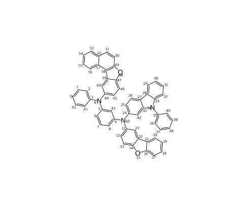 c1ccc(N(c2cccc(N(c3ccc4oc5ccccc5c4c3)c3ccc4c5ccccc5n(-c5ccccc5)c4c3)c2)c2ccc3oc4ccc5ccccc5c4c3c2)cc1